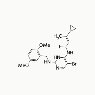 COc1ccc(OC)c(CNC2N=CC(Br)=C(NC(I)/C=C(\C)C3CC3)N2)c1